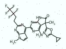 Cn1ccc2c(-c3nc(N)c4c(n3)NC(=O)C4(C)c3nnc(C4CC4)o3)nc(CCC(F)(F)C(F)(F)F)nc21